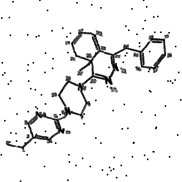 CCc1cnc(N2CCN(C3=NN=C(Cc4ccccc4)C4=CC=CCC43C)CC2)nc1